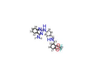 CN(C)c1nc(N[C@H]2CC[C@@H](CNCc3cccc4c3OC(F)(F)O4)CC2)nc2ccccc12